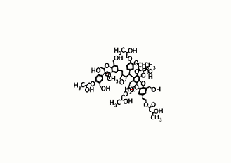 COc1cc(C(c2c(CC(=O)COCC(C)O)cc(Oc3c(CO)cc(C=COC(=O)CC(C)O)cc3OC)c(OCC(C)O)c2OC)C2COCC2Cc2cc(CO)c(OC(CO)C(=O)c3ccc(OCC(C)O)c(CO)c3)c(OC)c2)ccc1OCC(C)O